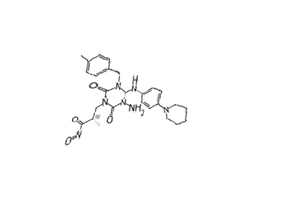 Cc1ccc(CN2C(=O)N(C[C@H](C)C(=O)N=O)C(=O)N(N)C2Nc2ccc(N3CCCCC3)cc2)cc1